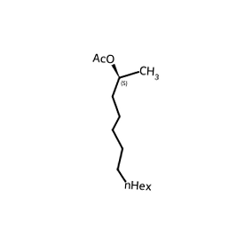 CCCCCCCCCCC[C@H](C)OC(C)=O